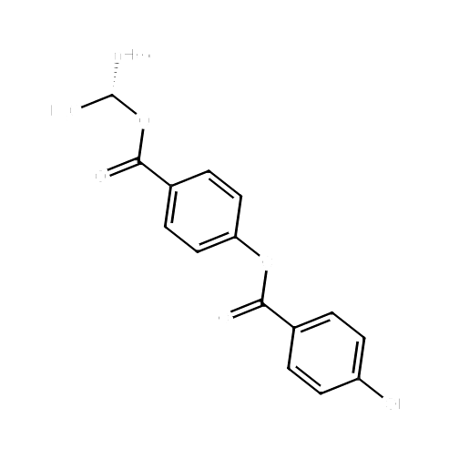 CCCCCC[C@@H](C)OC(=O)c1ccc(OC(=O)c2ccc(O)cc2)cc1